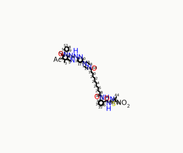 CC(=O)c1c(C)c2cnc(Nc3ccc(N4CCN(C(=O)CCCCCCCCCCC(=O)Nc5ccccc5C(=O)Nc5nc(C)c([N+](=O)[O-])s5)CC4)cn3)nc2n(C2CCCC2)c1=O